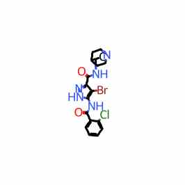 O=C(Nc1[nH]nc(C(=O)NC2CN3CCC2CC3)c1Br)c1ccccc1Cl